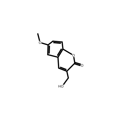 COc1ccc2oc(=O)c(CO)cc2c1